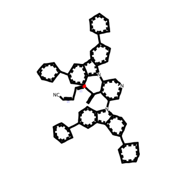 C=C(/C=C\C=C/C#N)c1c(-n2c3ccc(-c4ccccc4)cc3c3cc(-c4ccccc4)ccc32)cncc1-n1c2ccc(-c3ccccc3)cc2c2cc(-c3ccccc3)ccc21